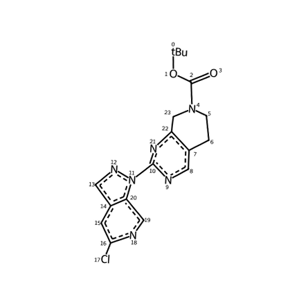 CC(C)(C)OC(=O)N1CCc2cnc(-n3ncc4cc(Cl)ncc43)nc2C1